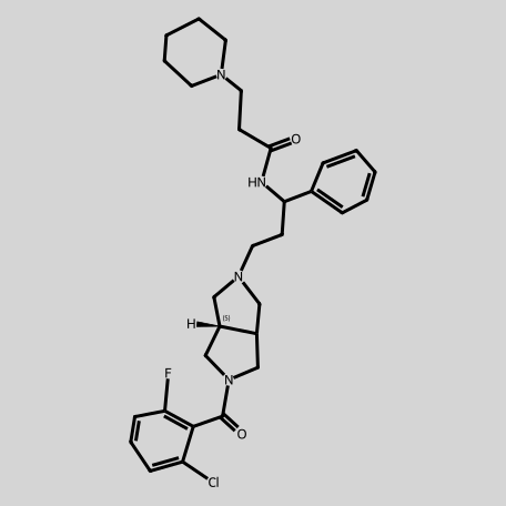 O=C(CCN1CCCCC1)NC(CCN1CC2CN(C(=O)c3c(F)cccc3Cl)C[C@@H]2C1)c1ccccc1